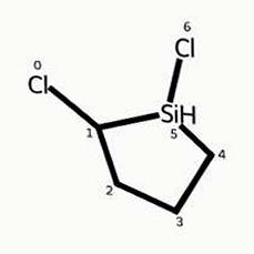 ClC1CCC[SiH]1Cl